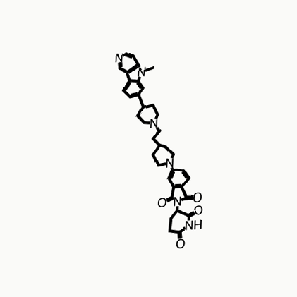 Cn1c2ccncc2c2ccc(C3CCN(CCC4CCN(c5ccc6c(c5)C(=O)N(C5CCC(=O)NC5=O)C6=O)CC4)CC3)cc21